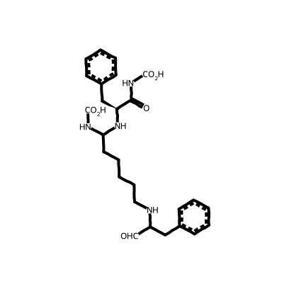 O=CC(Cc1ccccc1)NCCCCCC(NC(=O)O)N[C@@H](Cc1ccccc1)C(=O)NC(=O)O